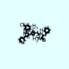 CC1(C)[C@@H](CC(=O)N[C@@H](Cc2ccccc2)C(N)=O)C[C@@H]1c1cc(-c2cccnc2)nn1-c1cccc(Cl)c1